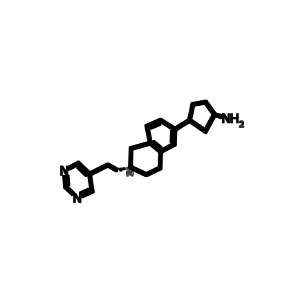 NC1CCC(c2ccc3c(c2)CC[C@H](CCc2cncnc2)C3)C1